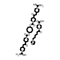 N=C(N)N1CCC(CC(=O)C2CCN(C(=O)O[C@H]3CCC[C@@H](OC(=O)N4CCC(C(=O)CC5CCN(C(=N)N)CC5)CC4)CCC3)CC2)CC1.O=C(O)N1CCN(C(=O)CCCCCn2ccnc2)CC1